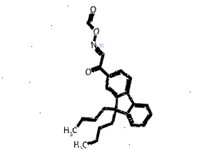 CCCCC1(CCCC)c2ccccc2-c2ccc(C(=O)/C=N/OC=O)cc21